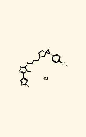 Cl.Cn1cc(-c2nnc(SCCCN3CC[C@]4(C[C@@H]4c4ccc(C(F)(F)F)cc4)C3)n2C)cn1